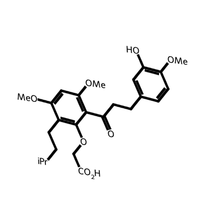 COc1ccc(CCC(=O)c2c(OC)cc(OC)c(CCC(C)C)c2OCC(=O)O)cc1O